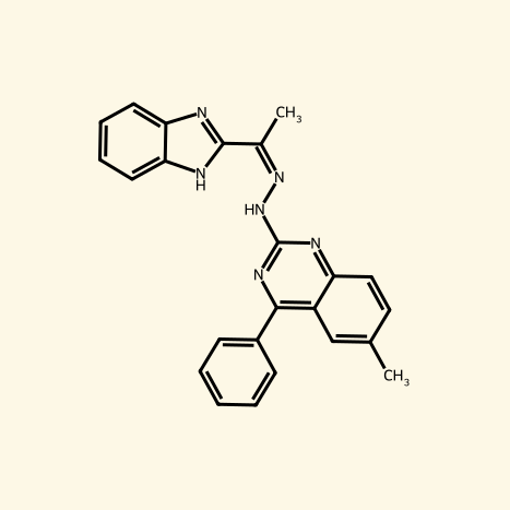 C/C(=N/Nc1nc(-c2ccccc2)c2cc(C)ccc2n1)c1nc2ccccc2[nH]1